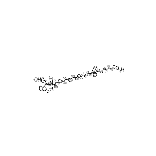 O=[C]CC[C@H](NC(=O)CCOCCOCCOCCOCCNC(=O)CCCCCCC(=O)O)C(=O)O